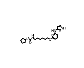 O=C(NCCCCCCOc1cccc(Nc2cc[nH]n2)n1)OC1CCCC1